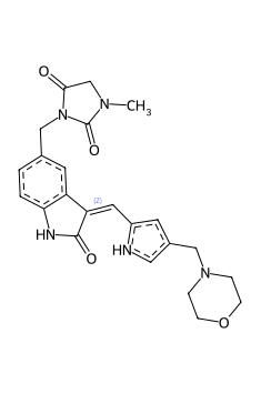 CN1CC(=O)N(Cc2ccc3c(c2)/C(=C/c2cc(CN4CCOCC4)c[nH]2)C(=O)N3)C1=O